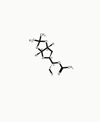 CC(=O)O[C@H](CF)[C@@H]1C[C@H]2OC(C)(C)O[C@H]2O1